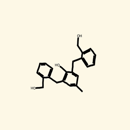 Cc1cc(Cc2ccccc2CO)c(O)c(Cc2ccccc2CO)c1